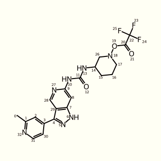 Cc1cc(-c2n[nH]c3cc(NC(=O)NC4CCCN(OC(=O)C(F)(F)F)C4)ncc23)ccn1